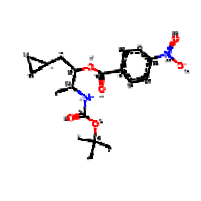 C[C@H](NC(=O)OC(C)(C)C)C(CC1CC1)OC(=O)c1ccc([N+](=O)[O-])cc1